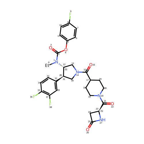 CCN(C(=O)Oc1ccc(F)cc1)[C@@H]1CN(C(=O)C2CCN(C(=O)[C@@H]3CC(=O)N3)CC2)C[C@H]1c1ccc(F)c(F)c1